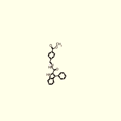 COC(=O)c1ccc(/C=N/NC(=O)c2[nH]c3ccccc3c2-c2ccccc2)cc1